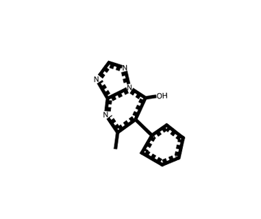 Cc1nc2ncnn2c(O)c1-c1ccccc1